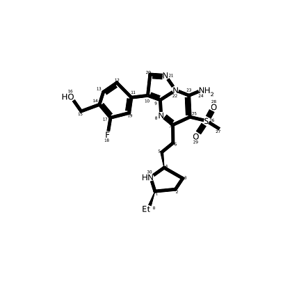 CC[C@@H]1CC[C@H](CCc2nc3c(-c4ccc(CO)c(F)c4)cnn3c(N)c2S(C)(=O)=O)N1